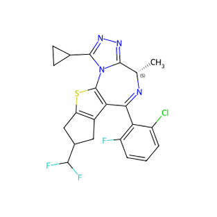 C[C@@H]1N=C(c2c(F)cccc2Cl)c2c(sc3c2CC(C(F)F)C3)-n2c(C3CC3)nnc21